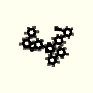 N#Cc1ccccc1-c1ccc(-c2nc(-c3ccc4c(c3)oc3cccc(-c5ccccc5)c34)nc(-c3ccccc3-c3ccccc3)n2)cc1